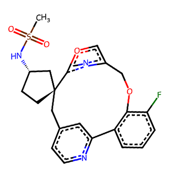 CS(=O)(=O)N[C@H]1CC[C@@]2(Cc3ccnc(c3)-c3cccc(F)c3OCc3coc2n3)C1